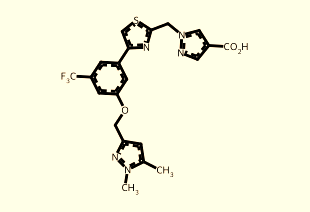 Cc1cc(COc2cc(-c3csc(Cn4cc(C(=O)O)cn4)n3)cc(C(F)(F)F)c2)nn1C